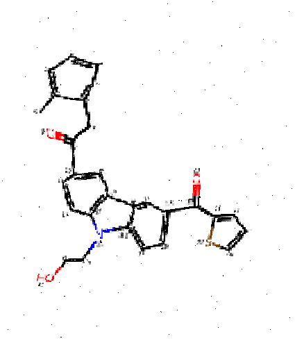 Cc1ccccc1CC(=O)c1ccc2c(c1)c1cc(C(=O)c3cccs3)ccc1n2CCO